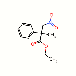 CCOC(=O)C(C)(C[N+](=O)[O-])c1ccccc1